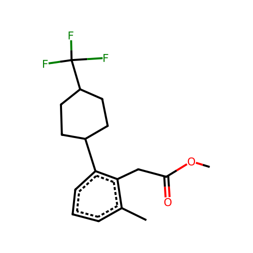 COC(=O)Cc1c(C)cccc1C1CCC(C(F)(F)F)CC1